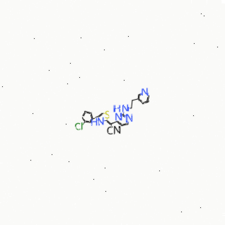 N#CC(=C1NC(c2cccc(Cl)c2)=CS1)c1ccnc(NCCc2cccnc2)n1